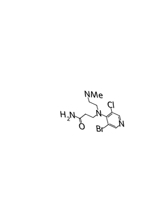 CNCCN(CCC(N)=O)c1c(Cl)cncc1Br